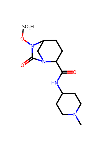 CN1CCC(NC(=O)C2CCC3CN2C(=O)N3OS(=O)(=O)O)CC1